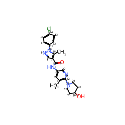 Cc1cc(NC(=O)c2cnn(-c3ccc(Cl)cc3)c2C)cnc1N1CCC(O)CC1